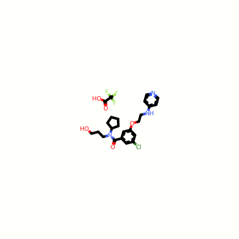 O=C(O)C(F)(F)F.O=C(c1cc(Cl)cc(OCCNc2ccncc2)c1)N(CCCO)C1CCCC1